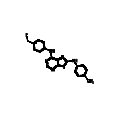 Cc1ccc(Nc2nc3c(Nc4ccc(CF)cc4)ncnc3s2)cc1